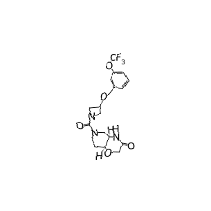 O=C1CO[C@H]2CCN(C(=O)N3CC(OCc4cccc(OC(F)(F)F)c4)C3)C[C@H]2N1